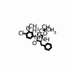 COc1cc(NC(=O)C(Cc2ccccc2)NC(=O)OC(C)(C)C)ccc1Cl